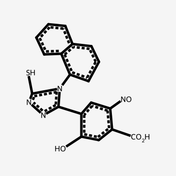 O=Nc1cc(-c2nnc(S)n2-c2cccc3ccccc23)c(O)cc1C(=O)O